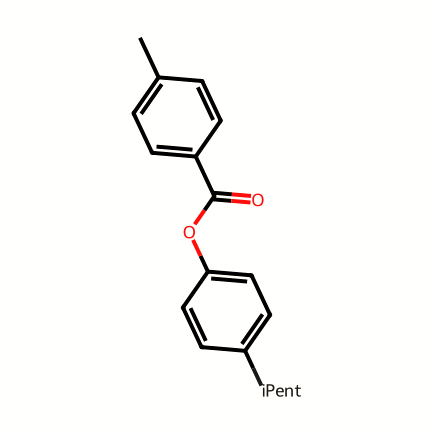 CCCC(C)c1ccc(OC(=O)c2ccc(C)cc2)cc1